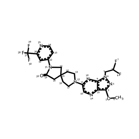 COc1nn(CC(F)F)c2nc(N3CCC4(CC3)CC(=O)N(c3ccnc(C(F)(F)F)c3)C4)cnc12